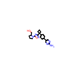 Nc1ncc(-c2ccc(C3(c4noc(N5CCCC5CO)n4)CCC3)cc2)cn1